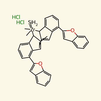 CC1=Cc2c(-c3cc4ccccc4o3)cccc2[CH]1[Zr]([CH3])([CH3])(=[SiH2])[CH]1C(C)=Cc2c(-c3cc4ccccc4o3)cccc21.Cl.Cl